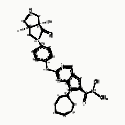 CN(C)C(=O)c1cc2cnc(Nc3ccc(N4C[C@H]5CNC[C@H]5C4=O)cn3)nc2n1C1CCCCCC1